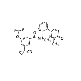 CC(NC(=O)c1cc(OC(F)F)cc(C2(C#N)CC2)c1)c1nccnc1-c1ccc(=O)n(C)n1